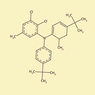 Cc1cc(Cl)c(Cl)c(N(C2=CC=C(C(C)(C)C)CC2C)c2ccc(C(C)(C)C)cc2)c1